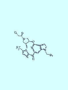 Cc1cnc(Nc2cc3c(ccn3CC(C)C)c(O[C@@H]3CN(C(=O)CCl)C[C@@H]3F)n2)s1